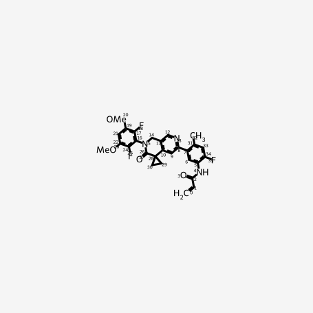 C=CC(=O)Nc1cc(-c2cc3c(cn2)CN(c2c(F)c(OC)cc(OC)c2F)C(=O)C32CC2)c(C)cc1F